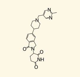 Cc1ncc(CN2CCC(c3ccc4c(c3)CN(C3CCC(=O)NC3=O)C4=O)CC2)cn1